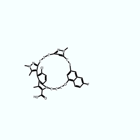 Cc1c(C(=O)O)n2c3ccc(Cl)c(c13)-c1c(nn(C)c1C)CSCc1cc(n(C)n1)CSc1cc(c3ccc(F)cc3c1)OCCC2